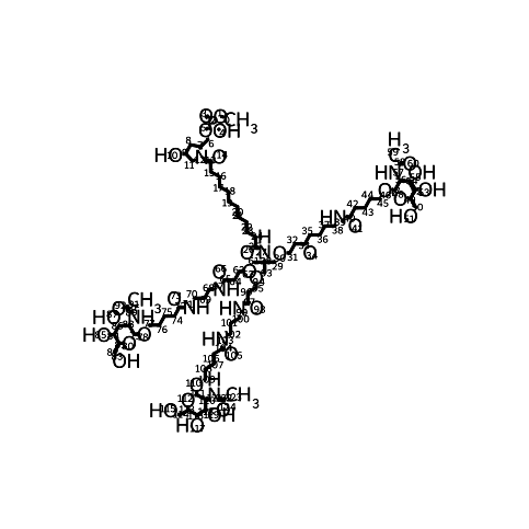 COP(=O)(O)OCC1CC(O)CN1C(=O)CCCCCCCCCCC(=O)NC(COCCC(=O)CCCCNC(=O)CCCCOC1OC(CO)C(O)=C(O)C1NC(C)=O)(COCCC(=O)NCCCNC(=O)CCCCOC1OC(CO)C(O)C(O)C1NC(C)=O)COCCC(=O)NCCCNC(=O)CCCCOC1OC(CO)C(O)C(O)C1NC(C)=O